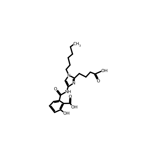 CCCCCCn1cc(NC(=O)c2cccc(O)c2C(=O)O)nc1CCCC(=O)O